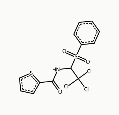 O=C(NC(C(Cl)(Cl)Cl)S(=O)(=O)c1ccccc1)c1cccs1